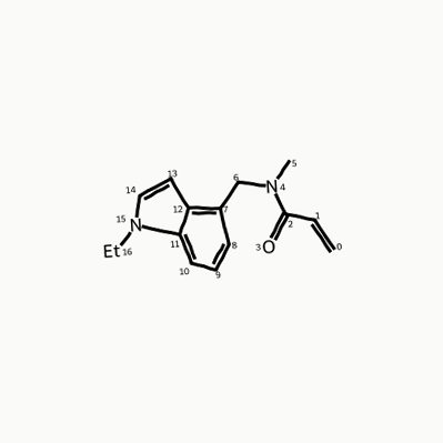 C=CC(=O)N(C)Cc1cccc2c1ccn2CC